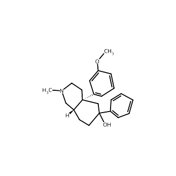 COc1cccc([C@@]23CCN(C)C[C@H]2CCC(O)(c2ccccc2)C3)c1